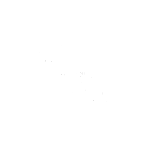 CCOC(=O)COc1c(CNc2ccc(Cl)cc2C(=O)Nc2ccc(/C(N)=N/O)cc2)cc(CO)cc1OCC